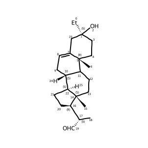 CC[C@]1(O)CC[C@@]2(C)C(=CC[C@@H]3C2CC[C@]2(C)[C@@H]([C@H](C)C=O)CC[C@@H]32)C1